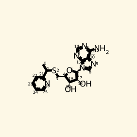 CC(SC[C@H]1O[C@@H](n2cnc3c(N)ncnc32)[C@H](O)[C@@H]1O)c1ccccn1